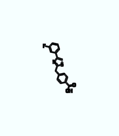 O=C(O)c1ccc(Cc2nc(-c3cccc(F)c3)cs2)cc1